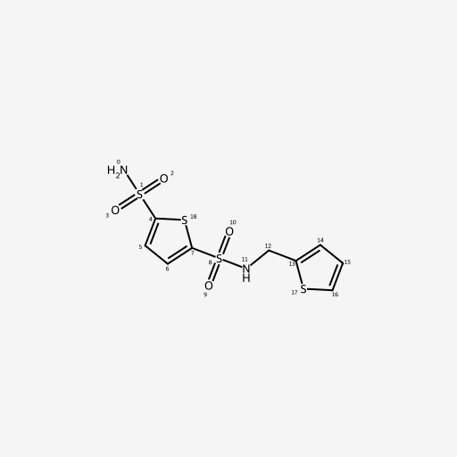 NS(=O)(=O)c1ccc(S(=O)(=O)NCc2cccs2)s1